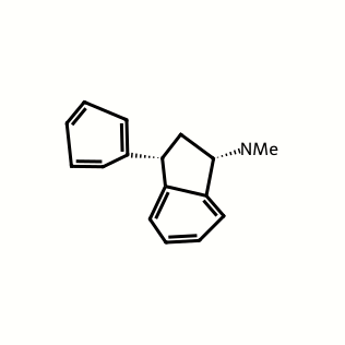 CN[C@H]1C[C@@H](c2ccccc2)c2ccccc21